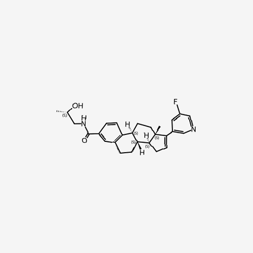 C[C@H](O)CNC(=O)c1ccc2c(c1)CC[C@@H]1[C@@H]2CC[C@]2(C)C(c3cncc(F)c3)=CC[C@@H]12